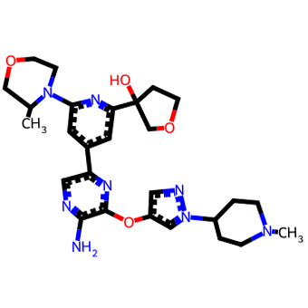 CC1COCCN1c1cc(-c2cnc(N)c(Oc3cnn(C4CCN(C)CC4)c3)n2)cc(C2(O)CCOC2)n1